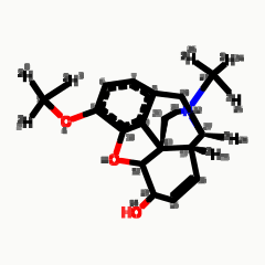 [2H]C([2H])([2H])Oc1ccc2c3c1OC1C(O)C=C[C@]4([2H])[C@@]31CCN(C([2H])([2H])[2H])[C@]4([2H])C2